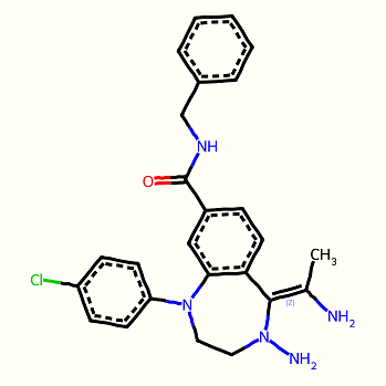 C/C(N)=C1\c2ccc(C(=O)NCc3ccccc3)cc2N(c2ccc(Cl)cc2)CCN1N